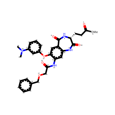 COC(=O)CC[C@H]1NC(=O)c2cc(Oc3cccc(N(C)C)c3)c(NC(=O)COCc3ccccc3)cc2NC1=O